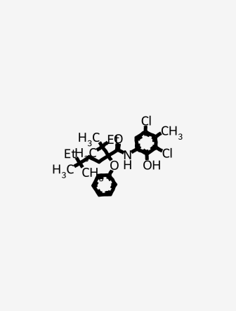 CCC(C)(C)CCC(Oc1ccccc1)(C(=O)Nc1cc(Cl)c(C)c(Cl)c1O)C(C)(C)CC